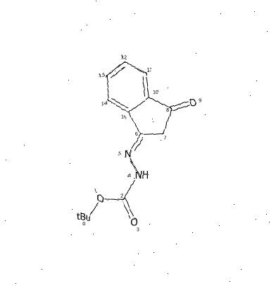 CC(C)(C)OC(=O)NN=C1CC(=O)c2ccccc21